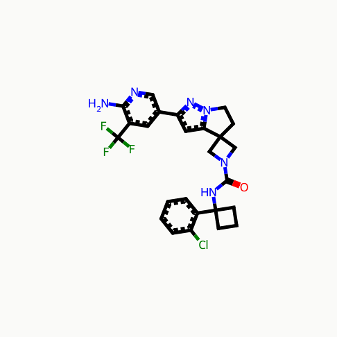 Nc1ncc(-c2cc3n(n2)CCC32CN(C(=O)NC3(c4ccccc4Cl)CCC3)C2)cc1C(F)(F)F